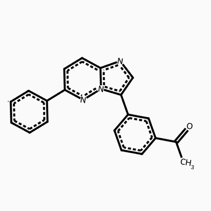 CC(=O)c1cccc(-c2cnc3ccc(-c4c[c]ccc4)nn23)c1